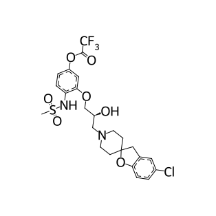 CS(=O)(=O)Nc1ccc(OC(=O)C(F)(F)F)cc1OC[C@@H](O)CN1CCC2(CC1)Cc1cc(Cl)ccc1O2